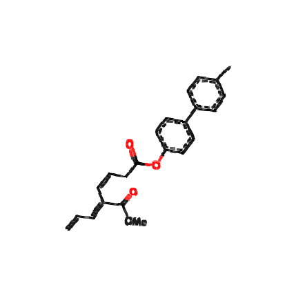 C=C/C=C(\C=C/CC(=O)Oc1ccc(-c2ccc(C)cc2)cc1)C(=O)OC